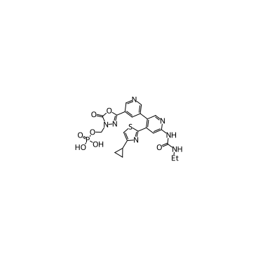 CCNC(=O)Nc1cc(-c2nc(C3CC3)cs2)c(-c2cncc(-c3nn(COP(=O)(O)O)c(=O)o3)c2)cn1